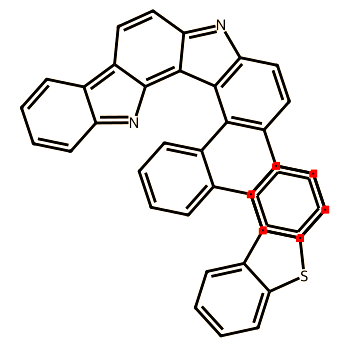 c1ccc(-c2ccc3c(c2-c2ccccc2-c2cccc4sc5ccccc5c24)-c2c4c(ccc2=N3)=c2ccccc2=N4)cc1